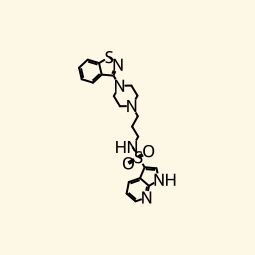 O=S(=O)(NCCCN1CCN(c2nsc3ccccc23)CC1)c1c[nH]c2ncccc12